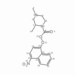 CC1CN(C)CCN1C(=O)OOc1ccc([N+](=O)[O-])c2cccnc12